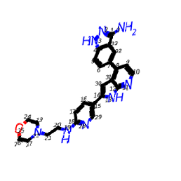 Nc1n[nH]c2ccc(-c3ccnc4[nH]c(-c5ccc(NCCN6CCOCC6)nc5)cc34)cc12